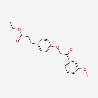 CCOC(=O)CCc1ccc(OCC(=O)c2cccc(OC)c2)cc1